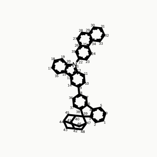 c1ccc2c(c1)-c1cc(-c3ccc4c(c3)c3ccccc3n4-c3ccc4c(ccc5ccccc54)c3)ccc1C21C2CC3CC(C2)CC1C3